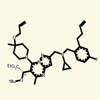 C=CCCc1cc(F)ccc1CN(Cc1cc2nc(C)c([C@H](OC(C)(C)C)C(=O)OCC)c(N3CCC(C)(OCC=C)CC3)n2n1)C1CC1